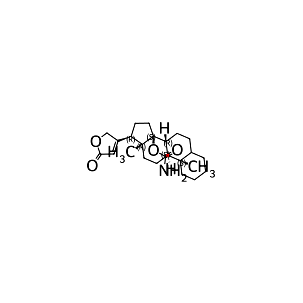 C[C@]12CCCCC1CC[C@@H]1[C@@H]2CC[C@]2(C)[C@@H](C3=CC(=O)OC3)CC[C@]12OC(N)=O